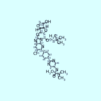 CN(C)S(C)(=O)=Nc1cnc(-c2ccc(-c3nc4c(cc3Cl)nc(O[C@@H]3CO[C@H]5[C@@H]3OC[C@H]5O)n4COCC[Si](C)(C)C)cc2)nc1